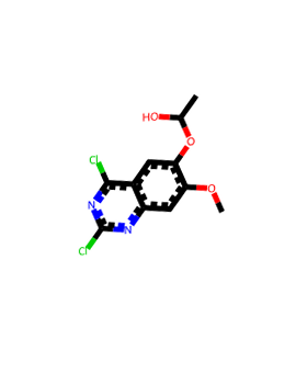 COc1cc2nc(Cl)nc(Cl)c2cc1OC(C)O